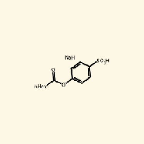 CCCCCCC(=O)Oc1ccc(S(=O)(=O)O)cc1.[NaH]